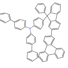 c1ccc(-c2ccc(N(c3ccc(-c4ccccc4)cc3)c3ccc(C4(c5ccccc5)c5ccccc5-c5ccc(-c6ccc7c8ccccc8c8ccccc8c7c6)cc54)cc3)cc2)cc1